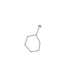 [N]C1CCCCC1